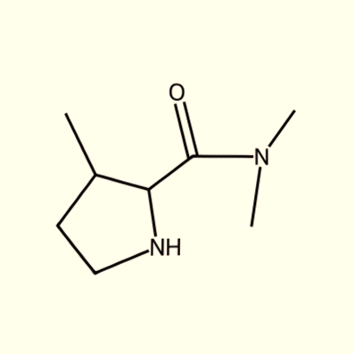 CC1CCNC1C(=O)N(C)C